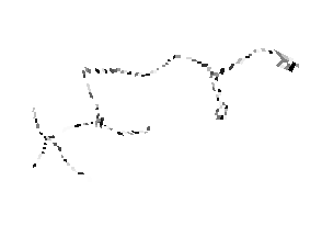 CC(C)(C)N1CCC(CC(=O)CBr)CC1